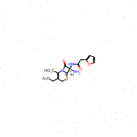 CC(=O)OCC1=C(C(=O)O)N2C(=O)[C@](N)(NC(=O)Cc3ccco3)[C@H]2SC1